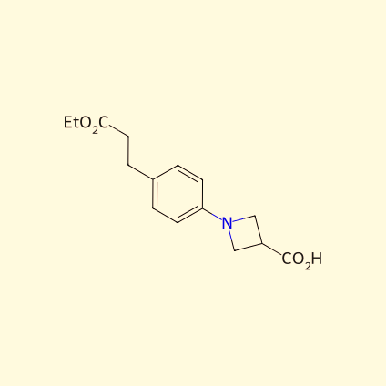 CCOC(=O)CCc1ccc(N2CC(C(=O)O)C2)cc1